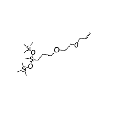 C=CCOCCOCCC[Si](C)(O[Si](C)(C)C)O[Si](C)(C)C